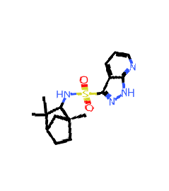 CC1(C)C2CC[C@](C)(C2)C1NS(=O)(=O)c1n[nH]c2ncccc12